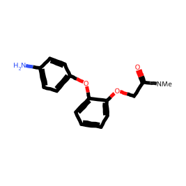 CNC(=O)COc1ccccc1Oc1ccc(N)cc1